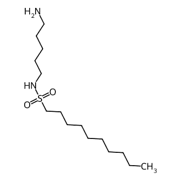 CCCCCCCCCCS(=O)(=O)NCCCCCN